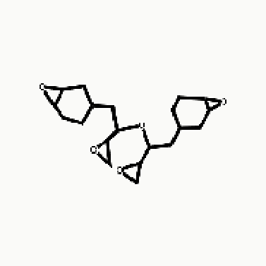 C1CC2OC2CC1CC(OC(CC1CCC2OC2C1)C1CO1)C1CO1